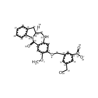 COc1cc2c(cc1OCc1cc(CCl)cc([N+](=O)[O-])c1)NC[C@@H]1Cc3ccccc3N1C2=O